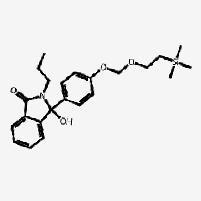 CCCN1C(=O)c2ccccc2C1(O)c1ccc(OCOCC[Si](C)(C)C)cc1